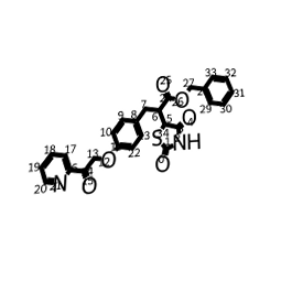 O=C1NC(=O)C(C(Cc2ccc(OCC(=O)c3ccccn3)cc2)C(=O)OCc2ccccc2)S1